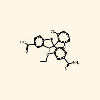 CCOc1cc(C(N)=O)ccc1C1(c2c(Cl)cccc2Cl)Nc2ccc(C(=O)O)cc2N1